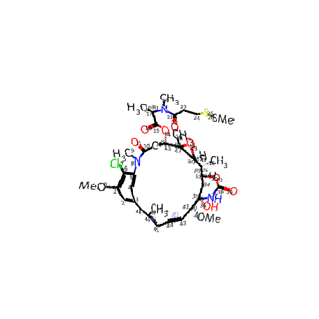 COc1cc2cc(c1Cl)N(C)C(=O)C[C@H](OC(=O)[C@@H](C)N(C)C(=O)CCSSC)[C@]1(C)O[C@H]1[C@H](C)[C@@H]1C[C@@](O)(NC(=O)O1)[C@H](OC)/C=C/C=C(\C)C2